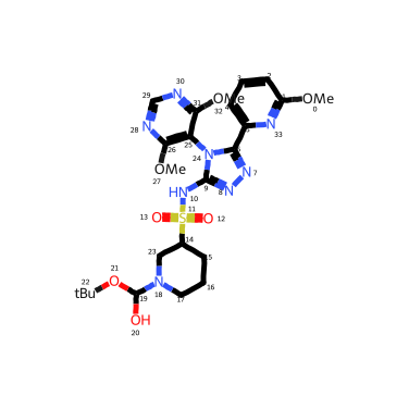 COc1cccc(-c2nnc(NS(=O)(=O)C3CCCN(C(O)OC(C)(C)C)C3)n2-c2c(OC)ncnc2OC)n1